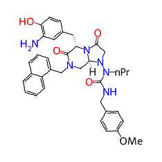 CCCN(C(=O)NCc1ccc(OC)cc1)N1CC(=O)N2[C@@H](Cc3ccc(O)c(N)c3)C(=O)N(Cc3cccc4ccccc34)C[C@@H]21